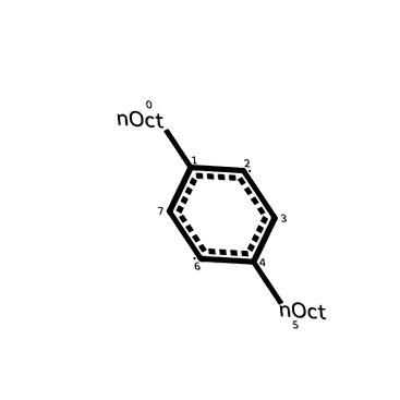 CCCCCCCCc1[c]cc(CCCCCCCC)[c]c1